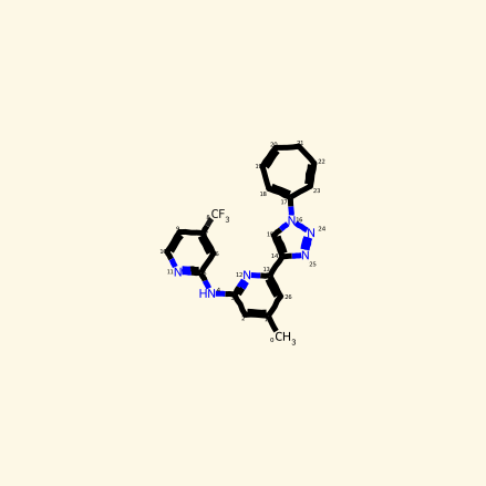 Cc1cc(Nc2cc(C(F)(F)F)ccn2)nc(-c2cn(C3=CC=CCC=C3)nn2)c1